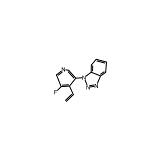 C=Cc1c(F)cncc1-n1nnc2ccccc21